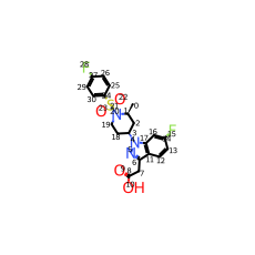 C[C@H]1C[C@@H](n2nc(CC(=O)O)c3ccc(F)cc32)CCN1S(=O)(=O)c1ccc(F)cc1